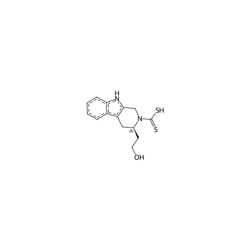 OCC[C@H]1Cc2c([nH]c3ccccc23)CN1C(=S)S